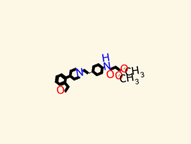 COC(CC(=O)N[C@H]1CC[C@H](CCN2CCC(c3cccc4c3CCO4)CC2)CC1)OC